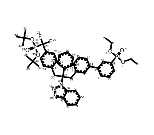 CCOP(=O)(OCC)c1cccc(-c2cccc(CC(Cc3ccc(C(F)(F)P(=O)(OC(C)(C)C)OC(C)(C)C)cc3)(c3ccccc3)n3nnc4ccccc43)c2)c1